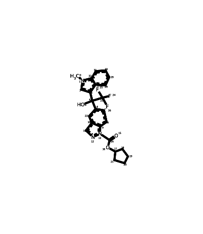 Cn1cc(C(O)(c2ccc3c(cnn3C(=O)OC3CCCC3)c2)C(F)(F)F)c2ccccc21